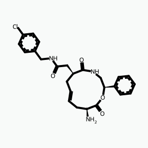 N[C@H]1C/C=C/C[C@@H](CC(=O)NCc2ccc(Cl)cc2)C(=O)NC[C@@H](c2ccccc2)OC1=O